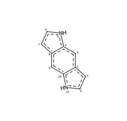 [c]1cc2cc3[nH]ccc3cc2[nH]1